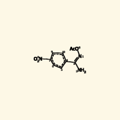 CC(=O)O/N=C(/N)c1ccc([N+](=O)[O-])cc1